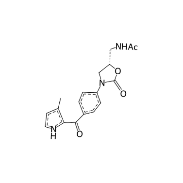 CC(=O)NC[C@H]1CN(c2ccc(C(=O)c3[nH]ccc3C)cc2)C(=O)O1